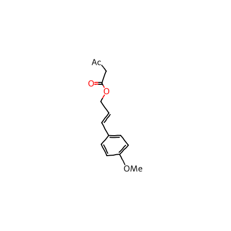 COc1ccc(C=CCOC(=O)CC(C)=O)cc1